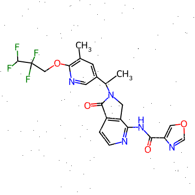 Cc1cc(C(C)N2Cc3c(ccnc3NC(=O)c3cocn3)C2=O)cnc1OCC(F)(F)C(F)F